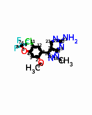 COc1cc(OC(F)(F)F)c(Cl)cc1-c1nn(C)c2nc(N)ncc12